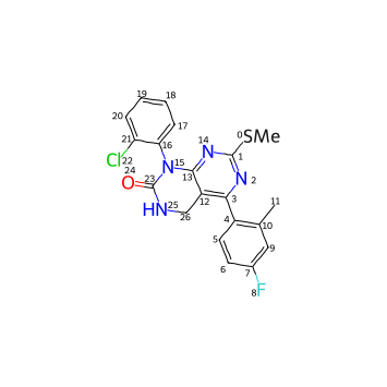 CSc1nc(-c2ccc(F)cc2C)c2c(n1)N(c1ccccc1Cl)C(=O)NC2